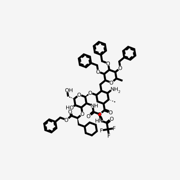 COC(=O)C1CC(O[C@@H]2O[C@@H](CO)C(O)C(O[C@@H](CC3CCCCC3)C(=O)OCc3ccccc3)C2NC(=O)CNC(=O)C(F)(F)F)C(CC2OC(C)C(OCc3ccccc3)C(OCc3ccccc3)C2OCc2ccccc2)C(N)[C@@H]1C